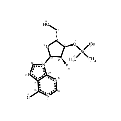 CC(C)(C)[Si](C)(C)O[C@@H]1[C@@H](CO)OC(n2cnc3c(Cl)ncnc32)[C@@H]1F